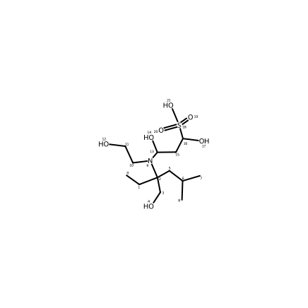 CCC(CO)(CC(C)C)N(CCO)C(O)CC(O)S(=O)(=O)O